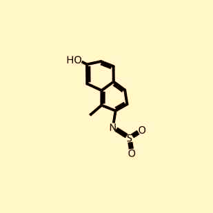 Cc1c(N=S(=O)=O)ccc2ccc(O)cc12